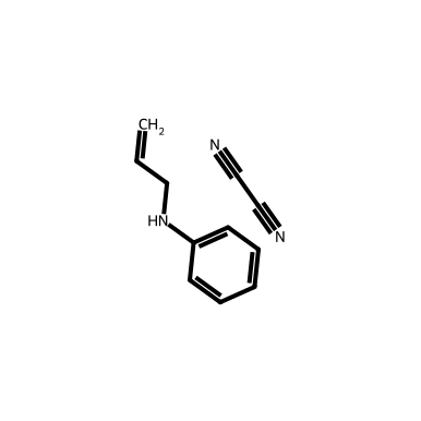 C=CCNc1ccccc1.N#CC#N